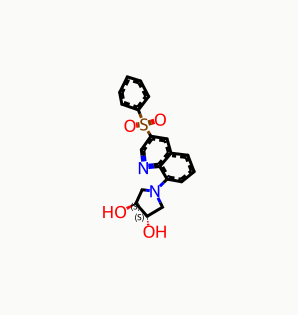 O=S(=O)(c1ccccc1)c1cnc2c(N3C[C@H](O)[C@@H](O)C3)cccc2c1